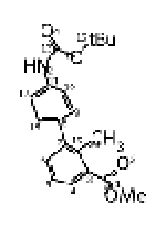 COS(=O)c1cccc(-c2ccc(NC(=O)OC(C)(C)C)cc2)c1C